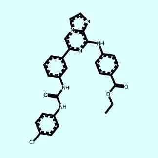 CCOC(=O)c1ccc(Nc2nc(-c3cccc(NC(=O)Nc4ccc(Cl)cc4)c3)cn3ccnc23)cc1